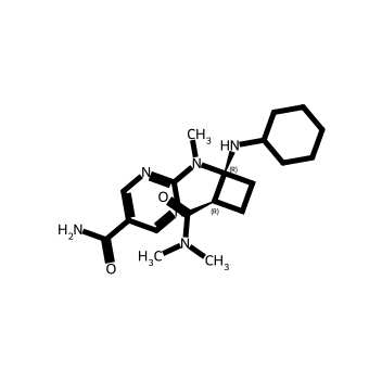 CN(C)C(=O)[C@@H]1CC[C@@]1(NC1CCCCC1)N(C)c1ncc(C(N)=O)cn1